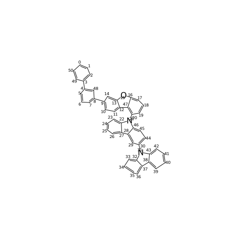 c1ccc(-c2cccc(-c3ccc4c(c3)oc3cccc(-n5c6ccccc6c6cc(-n7c8ccccc8c8ccccc87)ccc65)c34)c2)cc1